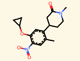 Cc1cc([N+](=O)[O-])c(OC2CC2)cc1C1CCN(C)C(=O)C1